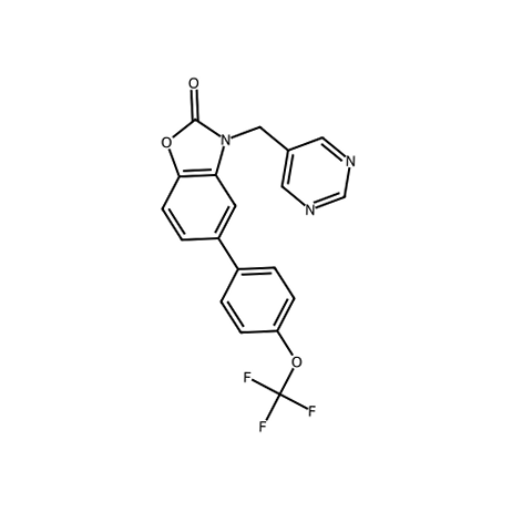 O=c1oc2ccc(-c3ccc(OC(F)(F)F)cc3)cc2n1Cc1cncnc1